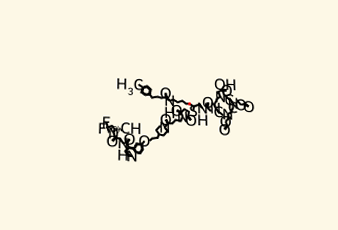 C#C[C@H]1CC(F)(F)CN1C(=O)CNC(=O)c1ccnc2ccc(OCCCC3CCN(C(=O)CCCN4C(=O)CC(SC(CCCCCNC(=O)CCCc5ccc(C)cc5)CNC(=O)CN5CCN(COC=O)CCN(COC=O)CCN(CC(=O)O)CC5)C4=O)CC3)cc12